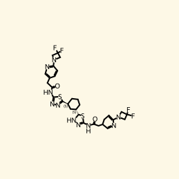 O=C(CC1C=NC(N2CC(F)(F)C2)=CC1)NC1=NNC([C@H]2CCC[C@H](c3nnc(NC(=O)Cc4ccc(N5CC(F)(F)C5)nc4)s3)C2)S1